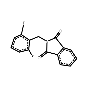 O=C1c2ccccc2C(=O)N1Cc1c(F)cccc1F